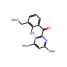 COCc1cccc(C(=O)c2nc(OC)cc(OC)n2)c1[N+](=O)[O-]